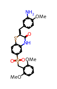 COc1ccc(C=C2Sc3ccc(S(=O)(=O)Cc4c(OC)cccc4OC)cc3NC2=O)cc1N